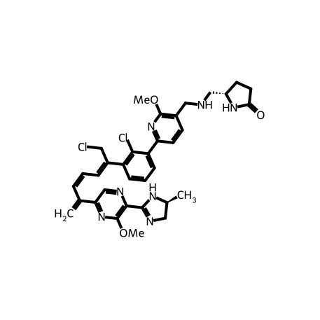 C=C(/C=C\C=C(/CCl)c1cccc(-c2ccc(CNC[C@@H]3CCC(=O)N3)c(OC)n2)c1Cl)c1cnc(C2=NC[C@H](C)N2)c(OC)n1